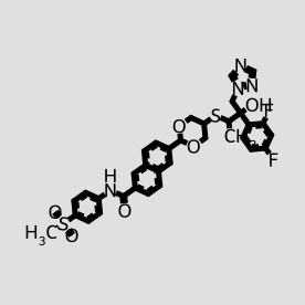 CC(SC1COC(c2ccc3cc(C(=O)Nc4ccc(S(C)(=O)=O)cc4)ccc3c2)OC1)C(O)(Cn1cncn1)c1ccc(F)cc1F